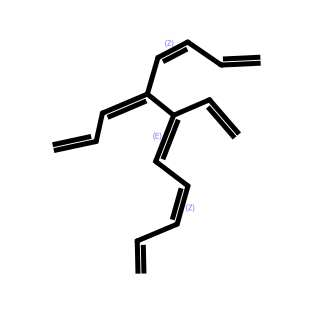 C=CC=C(/C=C\C=C)/C(C=C)=C/C=C\C=C